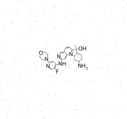 CC(O)(c1ccc2cnc(Nc3cc(N4CCOCC4)ncc3F)cc2n1)C1CCC(N)CC1